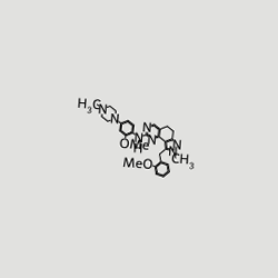 COc1ccccc1Cc1c2c(nn1C)CCc1cnc(Nc3ccc(N4CCN(C)CC4)cc3OC)nc1-2